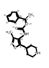 Cc1noc(C2CCNCC2)c1NC(=O)O[C@H](C)c1ccccc1